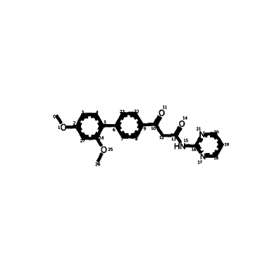 COc1ccc(-c2ccc(C(=O)CC(=O)Nc3ncccn3)cc2)c(OC)c1